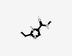 CCc1ncc(C(=O)OC)s1